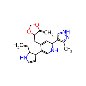 C=CC1NC=CC1C1=CNC(c2c[nH]nc2C(F)(F)F)C=C1CC1OCOC1=C